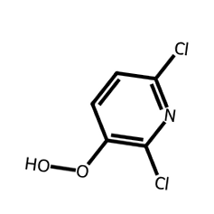 OOc1ccc(Cl)nc1Cl